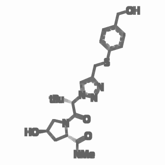 CNC(=O)[C@@H]1C[C@@H](O)CN1C(=O)[C@@H](n1cc(CSc2ccc(CO)cc2)nn1)C(C)(C)C